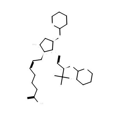 CCCCC(C)(C)[C@@H](/C=C/[C@@H]1[C@@H](C/C=C\CCCC(=O)OC)[C@H](O)C[C@H]1OC1CCCCO1)OC1CCCCO1